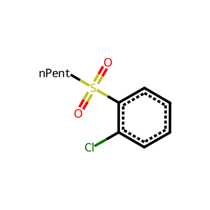 CCCCCS(=O)(=O)c1ccccc1Cl